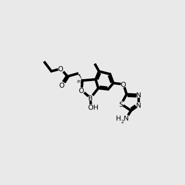 CCOC(=O)C[C@H]1OB(O)c2cc(Oc3nnc(N)s3)cc(C)c21